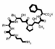 CC[C@H](C)[C@H](NC(=O)[C@@H](NC(=O)[C@@H](NCCCN)C(C)C)C(C)C)[C@H](O)CC(=O)N1CCC[C@H]1[C@H](O)[C@@H](C)C(=O)N[C@@H](Cc1ccccc1)C(=O)O